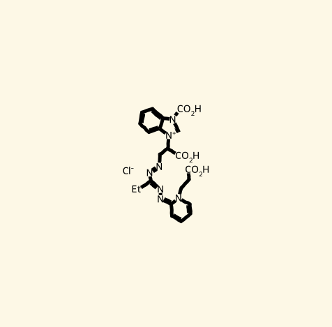 CCC(N=NCC(C(=O)O)[n+]1cn(C(=O)O)c2ccccc21)=NN=c1ccccn1CCC(=O)O.[Cl-]